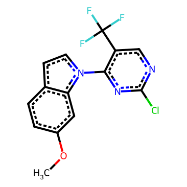 COc1ccc2ccn(-c3nc(Cl)ncc3C(F)(F)F)c2c1